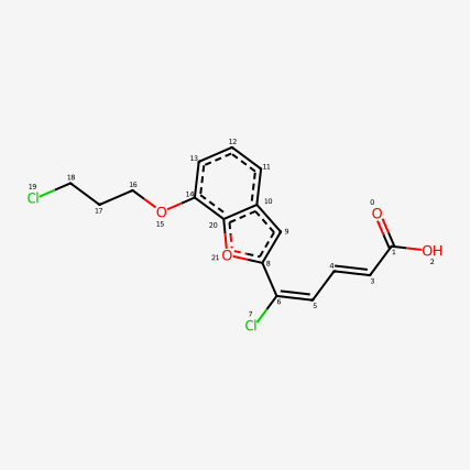 O=C(O)/C=C/C=C(/Cl)c1cc2cccc(OCCCCl)c2o1